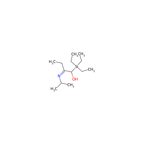 CCC(=NC(C)C)C(O)[Si](CC)(CC)CC